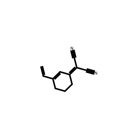 C=CC1=CC(=C(C#N)C#N)CCC1